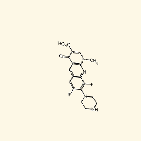 Cn1cc(C(=O)O)c(=O)c2cc3cc(F)c(N4CCNCC4)c(F)c3nc21